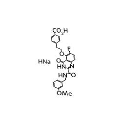 COc1cccc(CNC(=O)c2nc3ccc(F)c(OCCc4ccc(C(=O)O)cc4)c3c(=O)[nH]2)c1.[NaH]